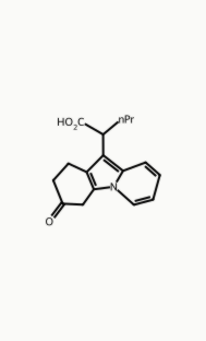 CCCC(C(=O)O)c1c2c(n3ccccc13)CC(=O)CC2